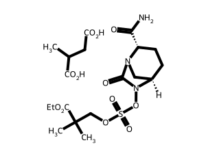 CC(CC(=O)O)C(=O)O.CCOC(=O)C(C)(C)COS(=O)(=O)ON1C(=O)N2C[C@H]1CC[C@H]2C(N)=O